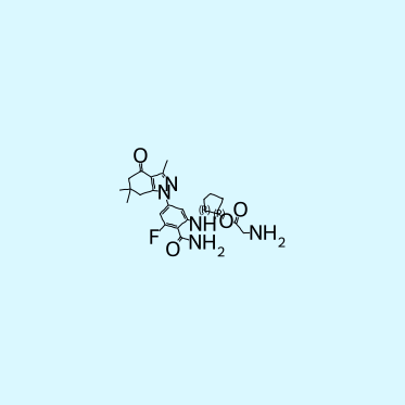 Cc1nn(-c2cc(F)c(C(N)=O)c(N[C@@H]3CCC[C@H]3OC(=O)CN)c2)c2c1C(=O)CC(C)(C)C2